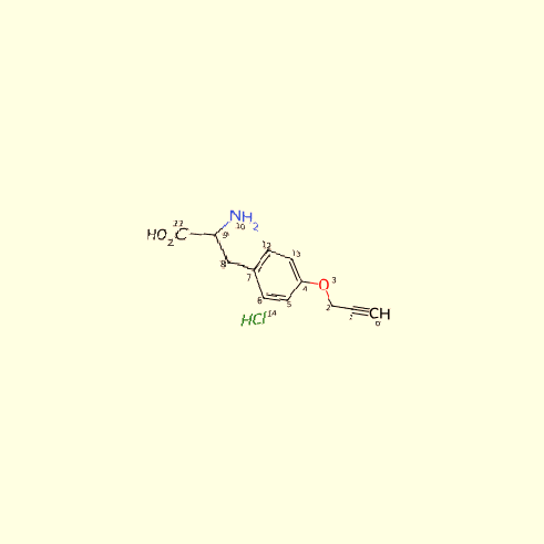 C#CCOc1ccc(CC(N)C(=O)O)cc1.Cl